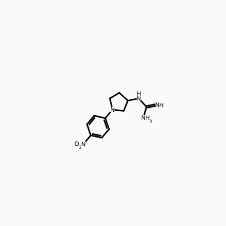 N=C(N)NC1CCN(c2ccc([N+](=O)[O-])cc2)C1